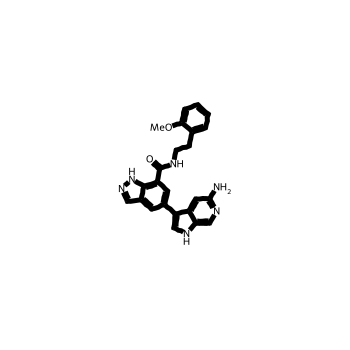 COc1ccccc1CCNC(=O)c1cc(-c2c[nH]c3cnc(N)cc23)cc2cn[nH]c12